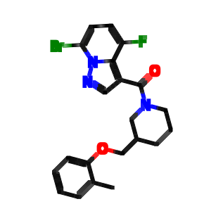 Cc1ccccc1OCC1CCCN(C(=O)c2cnn3c(Br)ccc(F)c23)C1